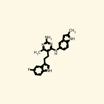 Cc1cc2cc(Nc3nc(N)nc(C)c3CCc3c[nH]c4ccc(F)cc34)ccc2[nH]1